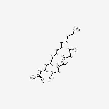 CCCCCCCCCCCCCC(=O)O.OCCONOCCO